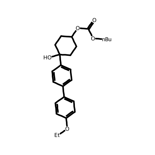 CCCCOC(=O)OC1CCC(O)(c2ccc(-c3ccc(OCC)cc3)cc2)CC1